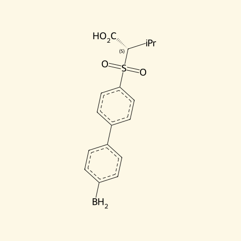 Bc1ccc(-c2ccc(S(=O)(=O)[C@H](C(=O)O)C(C)C)cc2)cc1